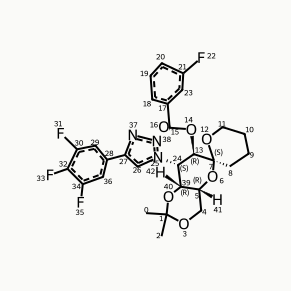 CC1(C)OC[C@H]2O[C@@]3(CCCCO3)[C@H](OC(=O)c3cccc(F)c3)[C@@H](n3cc(-c4cc(F)c(F)c(F)c4)nn3)[C@H]2O1